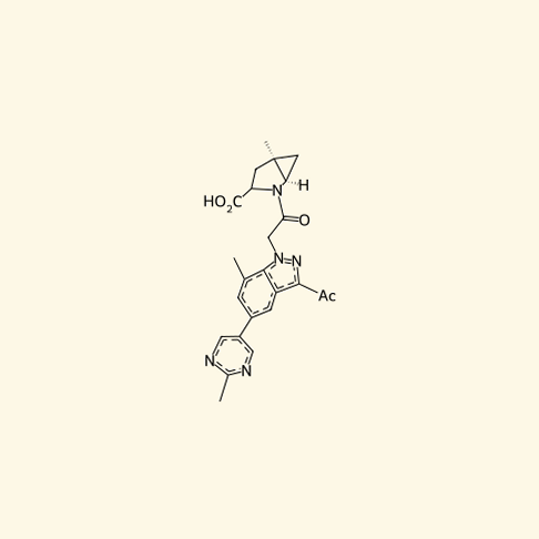 CC(=O)c1nn(CC(=O)N2C(C(=O)O)C[C@@]3(C)C[C@@H]23)c2c(C)cc(-c3cnc(C)nc3)cc12